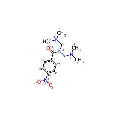 CN(C)CN(CN(C)C)C(=O)c1ccc([N+](=O)[O-])cc1